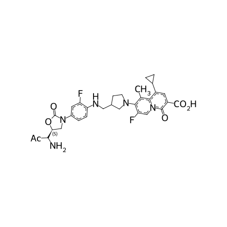 CC(=O)C(N)[C@@H]1CN(c2ccc(NCC3CCN(c4c(F)cn5c(=O)c(C(=O)O)cc(C6CC6)c5c4C)C3)c(F)c2)C(=O)O1